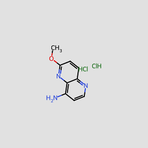 COc1ccc2nccc(N)c2n1.Cl.Cl